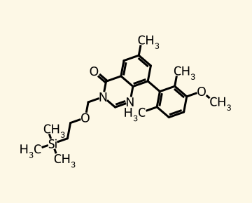 COc1ccc(C)c(-c2cc(C)cc3c(=O)n(COCC[Si](C)(C)C)cnc23)c1C